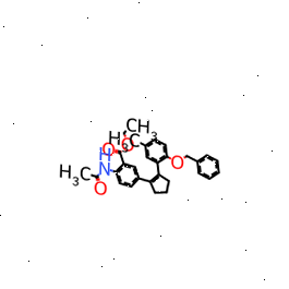 CCOC(=O)c1cc(C2=C(c3cc(C)ccc3OCc3ccccc3)CCC2)ccc1NC(C)=O